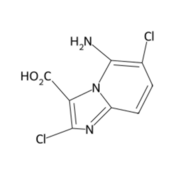 Nc1c(Cl)ccc2nc(Cl)c(C(=O)O)n12